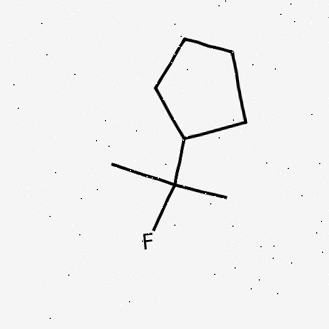 CC(C)(F)C1CCCC1